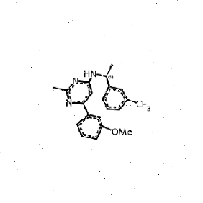 COc1cccc(-c2cc(N[C@@H](C)c3cccc(C(F)(F)F)c3)nc(C)n2)c1